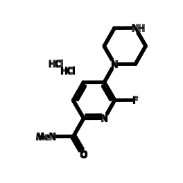 CNC(=O)c1ccc(N2CCNCC2)c(F)n1.Cl.Cl